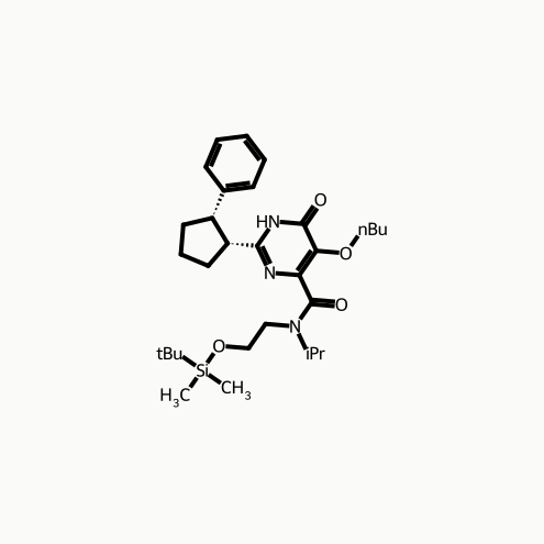 CCCCOc1c(C(=O)N(CCO[Si](C)(C)C(C)(C)C)C(C)C)nc([C@@H]2CCC[C@@H]2c2ccccc2)[nH]c1=O